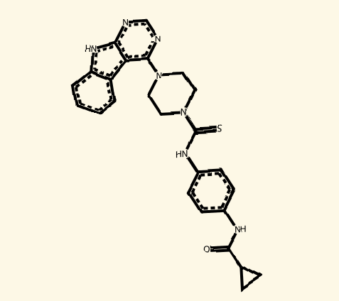 O=C(Nc1ccc(NC(=S)N2CCN(c3ncnc4[nH]c5ccccc5c34)CC2)cc1)C1CC1